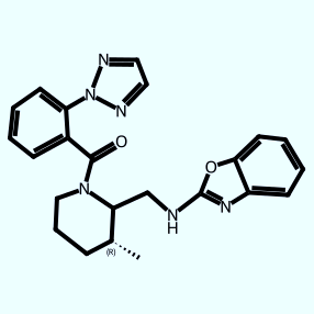 C[C@@H]1CCCN(C(=O)c2ccccc2-n2nccn2)C1CNc1nc2ccccc2o1